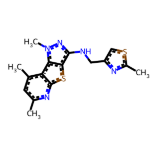 Cc1cc(C)c2c(n1)sc1c(NCc3csc(C)n3)nn(C)c12